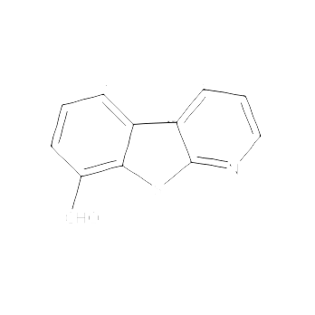 O=Cc1cccc2c1sc1ncccc12